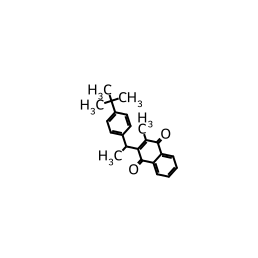 CC1=C(C(C)c2ccc(C(C)(C)C)cc2)C(=O)c2ccccc2C1=O